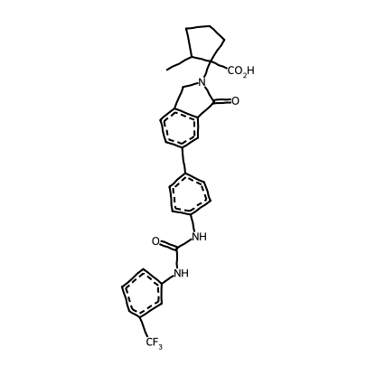 CC1CCCC1(C(=O)O)N1Cc2ccc(-c3ccc(NC(=O)Nc4cccc(C(F)(F)F)c4)cc3)cc2C1=O